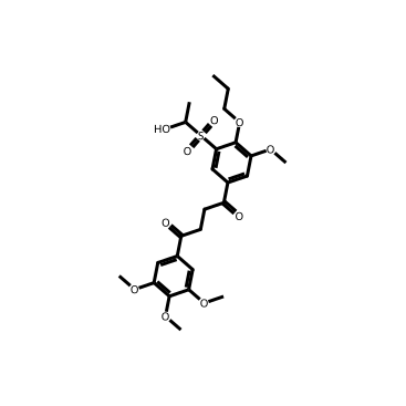 CCCOc1c(OC)cc(C(=O)CCC(=O)c2cc(OC)c(OC)c(OC)c2)cc1S(=O)(=O)C(C)O